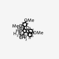 COc1ccc([C@@]23Oc4cc(OC)cc(OC)c4[C@]2(O)C(O)C(C(=O)N(C)C)C3c2ccccc2)cc1